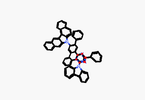 c1ccc(-c2nc(-c3cc(-c4ccccc4)c(-n4c5cc6ccccc6cc5c5c6ccccc6ccc54)cc3-c3ccccc3-c3ccccc3)nc(-n3c4ccccc4c4ccccc43)n2)cc1